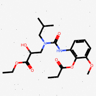 CCOC(=O)C(O)CN(CC(C)C)C(=O)Nc1cccc(OC)c1OC(=O)CC